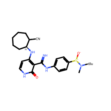 CN([S+]([O-])c1ccc(NC(=N)c2c(N[C@H]3CCCCCC3C#N)cc[nH]c2=O)cc1)C(C)(C)C